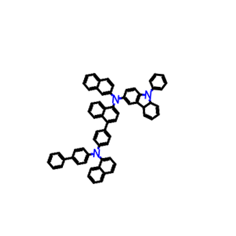 C1=CC2c3cc(N(c4ccc5ccccc5c4)c4ccc(-c5ccc(N(c6ccc(-c7ccccc7)cc6)c6cccc7ccccc67)cc5)c5ccccc45)ccc3N(c3ccccc3)C2C=C1